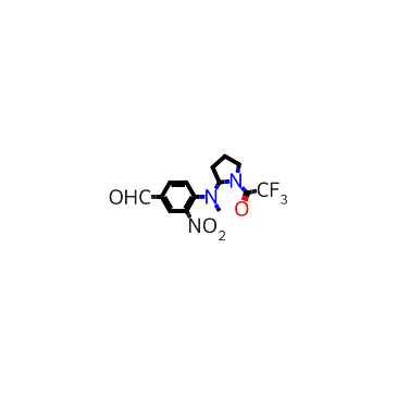 CN(c1ccc(C=O)cc1[N+](=O)[O-])C1CCCN1C(=O)C(F)(F)F